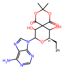 CC(C)C[C@H]1OC(n2cnc3c(N)ncnc32)C(O)C2(C(=O)OC(C)(C)OC2=O)C1O